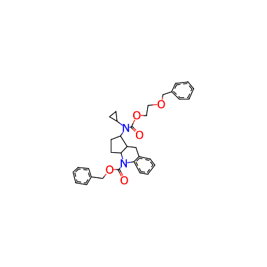 O=C(OCc1ccccc1)N1c2ccccc2CC2C1CCC2N(C(=O)OCCOCc1ccccc1)C1CC1